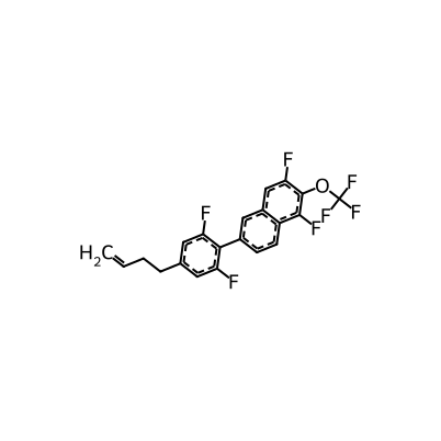 C=CCCc1cc(F)c(-c2ccc3c(F)c(OC(F)(F)F)c(F)cc3c2)c(F)c1